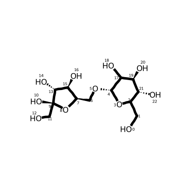 OCC1O[C@H](OC[C@H]2O[C@](O)(CO)[C@H](O)[C@H]2O)C(O)[C@@H](O)[C@@H]1O